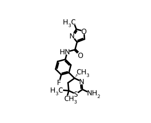 Cc1nc(C(=O)Nc2ccc(F)c([C@]3(C)CC(C)(C)SC(N)=N3)c2)co1